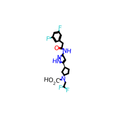 O=C(Cc1cc(F)cc(F)c1)Nc1cc([C@H]2CC[C@@H](N(CC(F)F)C(=O)O)C2)[nH]n1